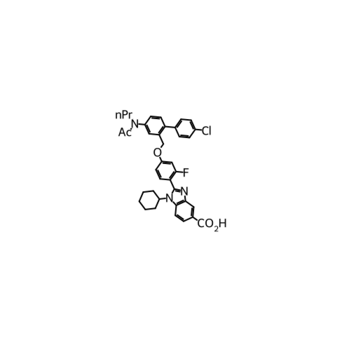 CCCN(C(C)=O)c1ccc(-c2ccc(Cl)cc2)c(COc2ccc(-c3nc4cc(C(=O)O)ccc4n3C3CCCCC3)c(F)c2)c1